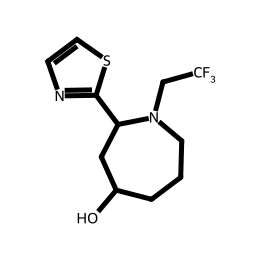 OC1CCCN(CC(F)(F)F)C(c2nccs2)C1